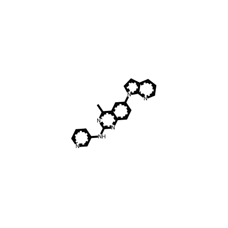 Cc1nc(Nc2cccnc2)nc2ccc(-n3ccc4cccnc43)cc12